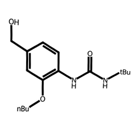 CCCCOc1cc(CO)ccc1NC(=O)NC(C)(C)C